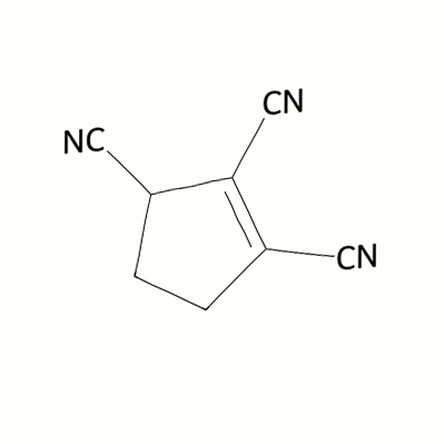 N#CC1=C(C#N)C(C#N)CC1